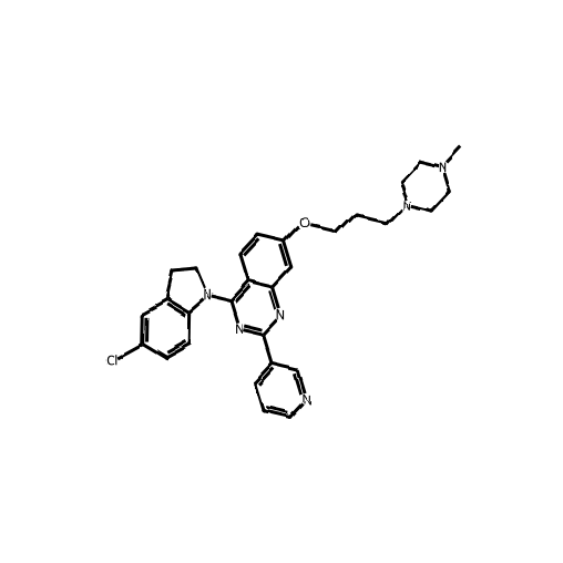 CN1CCN(CCCOc2ccc3c(N4CCc5cc(Cl)ccc54)nc(-c4cccnc4)nc3c2)CC1